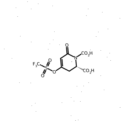 O=C(O)[C@@H]1CC(OS(=O)(=O)C(F)(F)F)=CC(=O)N1C(=O)O